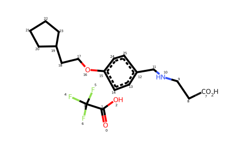 O=C(O)C(F)(F)F.O=C(O)CCNCc1ccc(OCCC2CCCC2)cc1